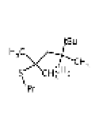 CC(C)SC(C)(C)CC(C)(C)C(C)(C)C